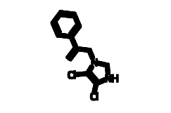 C=C(CN1CNC(Cl)=C1Cl)c1ccccc1